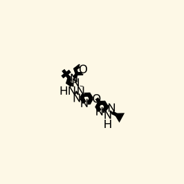 Cn1c(Nc2cc(C(C)(C)C)n(C3CCOC3)n2)nc2ncc(Oc3cnc4[nH]c(C5CC5)nc4c3)cc21